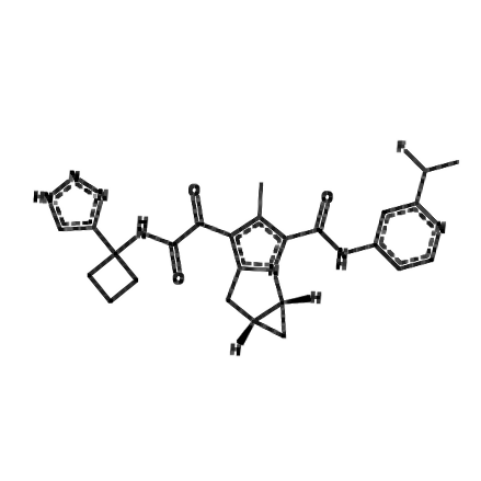 Cc1c(C(=O)C(=O)NC2(c3c[nH]nn3)CCC2)c2n(c1C(=O)Nc1ccnc(C(C)F)c1)[C@@H]1C[C@@H]1C2